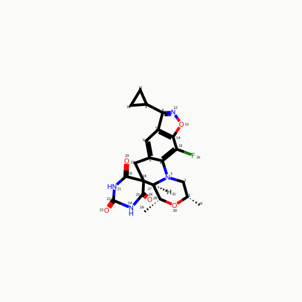 C[C@H]1CN2c3c(cc4c(C5CC5)noc4c3F)CC3(C(=O)NC(=O)NC3=O)[C@@H]2[C@@H](C)O1